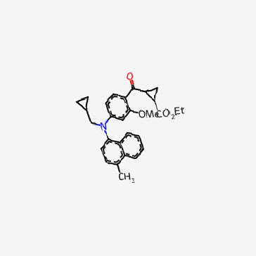 CCOC(=O)C1CC1C(=O)c1ccc(N(CC2CC2)c2ccc(C)c3ccccc23)cc1OC